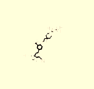 Cn1cnc2c(C#N)nc(-c3ccc(OCCC4(F)CCN(C(=O)OC(C)(C)C)CC4)c(C(F)(F)F)c3)cc21